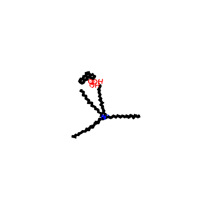 CCCCCCCCCCCCCCCC[N+](CCCCCCCCCCCCCCCC)(CCCCCCCCCCCCCCCC)CCCCCCCCCCCCCCCC.OB(O)Oc1cccc2ccc3cc4ccccc4cc3c12